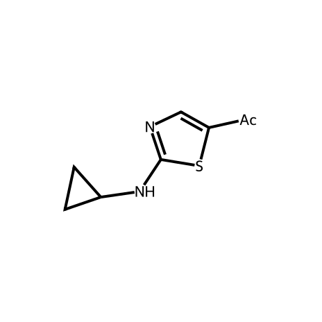 CC(=O)c1cnc(NC2CC2)s1